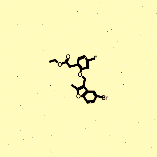 CCOC(=O)Cc1ccc(F)cc1OCc1c(C)oc2ccc(Br)cc12